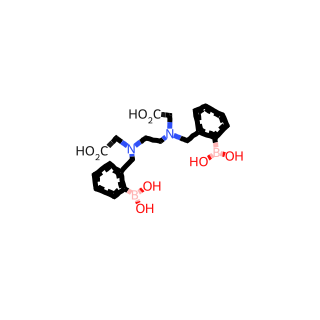 O=C(O)CN(CCN(CC(=O)O)Cc1ccccc1B(O)O)Cc1ccccc1B(O)O